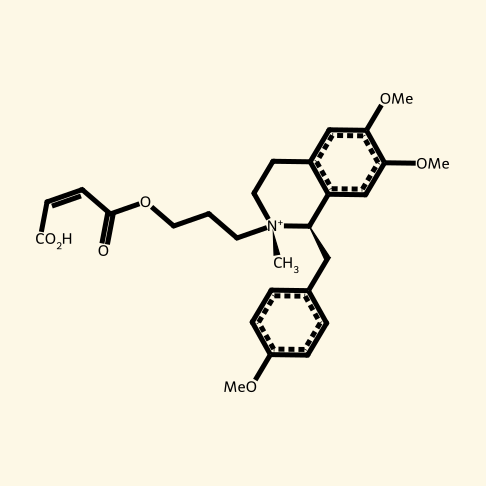 COc1ccc(C[C@@H]2c3cc(OC)c(OC)cc3CC[N@@+]2(C)CCCOC(=O)/C=C\C(=O)O)cc1